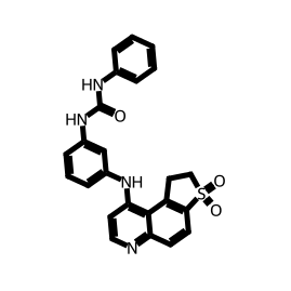 O=C(Nc1ccccc1)Nc1cccc(Nc2ccnc3ccc4c(c23)CCS4(=O)=O)c1